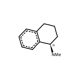 [CH2-][NH2+][C@@H]1CCCc2ccccc21